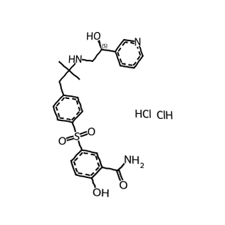 CC(C)(Cc1ccc(S(=O)(=O)c2ccc(O)c(C(N)=O)c2)cc1)NC[C@@H](O)c1cccnc1.Cl.Cl